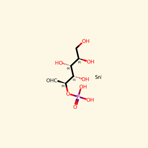 O=C[C@H](OP(=O)(O)O)[C@@H](O)[C@H](O)[C@H](O)CO.[Sn]